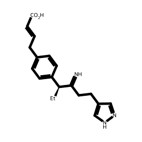 CC[C@H](C(=N)CCc1cn[nH]c1)c1ccc(C/C=C/C(=O)O)cc1